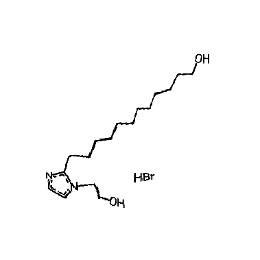 Br.OCCCCCCCCCCCCc1nccn1CCO